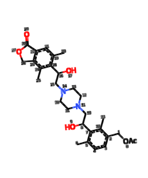 CC(=O)OCc1ccc(C)c(C(O)CN2CCN(CC(O)c3c(C)cc4c(c3C)COC4=O)CC2)c1C